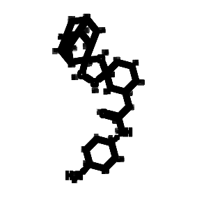 N[C@H]1CC[C@H](NC(=O)CC2CCCC3(C2)OOC2(O3)C3CC4CC(C3)CC2C4)CC1